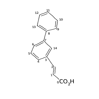 O=C(O)C=Cc1cccc(-c2[c]cccc2)c1